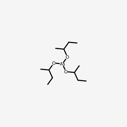 CCC(C)O[As](OC(C)CC)OC(C)CC